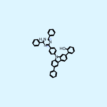 NC(/N=C(\N=C\c1ccccc1)c1ccc(-n2c3ccc(-c4ccccc4)cc3c3ccc(-c4ccccc4O)cc32)cc1)c1ccccc1